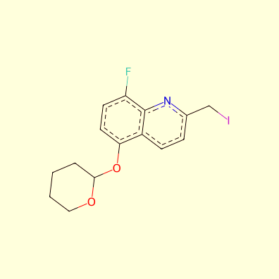 Fc1ccc(OC2CCCCO2)c2ccc(CI)nc12